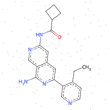 CCc1ccncc1-c1cc2cc(NC(=O)C3CCC3)ncc2c(N)n1